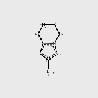 Bc1cc2n(n1)CCNC2